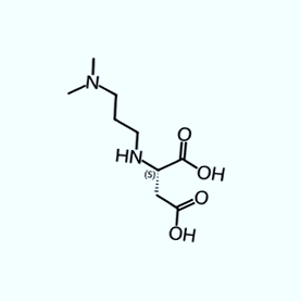 CN(C)CCCN[C@@H](CC(=O)O)C(=O)O